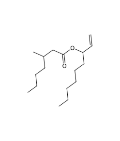 C=CC(CCCCCC)OC(=O)CC(C)CCCC